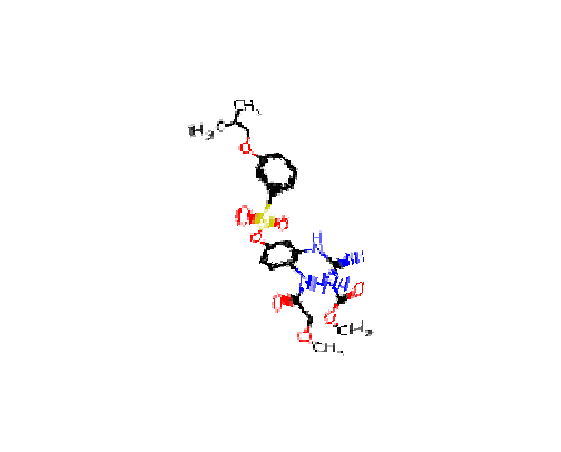 COCC(=O)Nc1ccc(OS(=O)(=O)c2cccc(OCC(C)C)c2)cc1NC(=N)NC(=O)OC